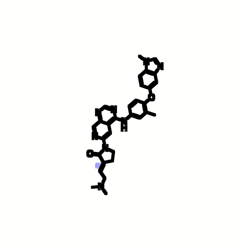 Cc1cc(Nc2ncnc3cnc(N4CC/C(=C\CN(C)C)C4=O)cc23)ccc1Oc1ccc2c(c1)ncn2C